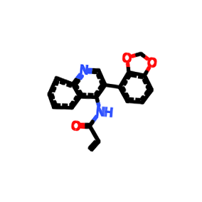 C=CC(=O)Nc1c(-c2cccc3c2OCO3)cnc2ccccc12